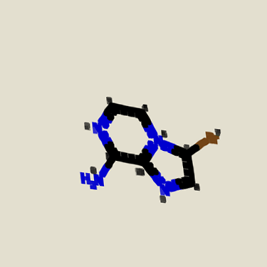 Nc1nccn2c(Br)cnc12